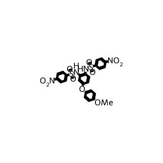 COc1ccc(Oc2ccc(NS(=O)(=O)c3ccc([N+](=O)[O-])cc3)c(NS(=O)(=O)c3ccc([N+](=O)[O-])cc3)c2)cc1